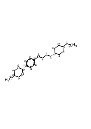 CC[C@H]1CC[C@H](CCCOc2ccc([C@H]3OC[C@H](C)CO3)cc2)CC1